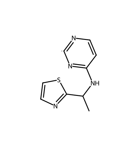 CC(Nc1ccn[c]n1)c1nccs1